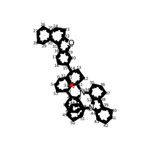 c1ccc(-c2ccccc2N(c2ccc(-c3ccc4c(c3)oc3ccc5ccccc5c34)cc2)c2cccc3c4ccccc4n(-c4ccccc4)c23)cc1